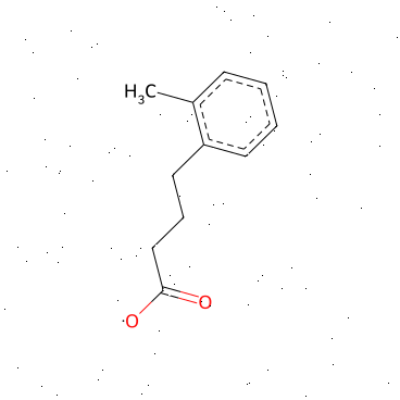 Cc1ccccc1CCCC([O])=O